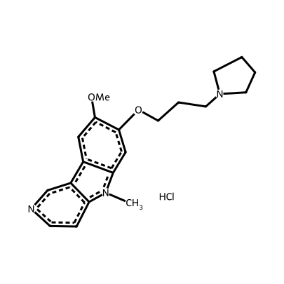 COc1cc2c3cnccc3n(C)c2cc1OCCCN1CCCC1.Cl